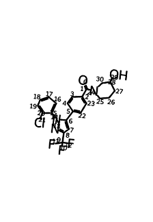 O=C(c1ccc(-c2cc(C(F)(F)F)nn2-c2ccccc2Cl)cc1)N1CCCC(O)C1